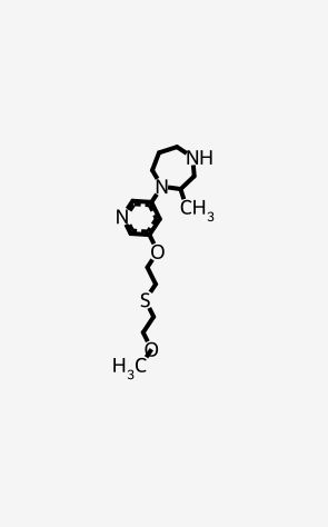 COCCSCCOc1cncc(N2CCCNCC2C)c1